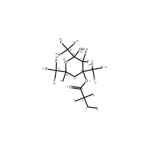 CCC(C)(C)C(=O)OC1(C(F)(F)F)CC(C)(C(F)(F)F)OC(O)(C(F)(F)F)C1(F)F